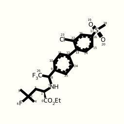 CCOC(=O)[C@@H](CC(C)(C)F)NC(c1ccc(-c2ccc(S(C)(=O)=O)cc2Cl)cc1)C(F)(F)F